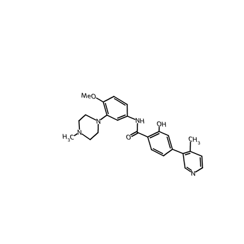 COc1ccc(NC(=O)c2ccc(-c3cnccc3C)cc2O)cc1N1CCN(C)CC1